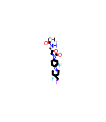 CC(=O)NC[C@H]1CN(c2ccc(N3CCC(F)(CI)CC3)c(F)c2)C(=O)O1